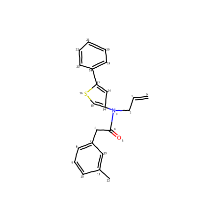 C=CCN(C(=O)Cc1cccc(C)c1)c1csc(-c2ccccc2)c1